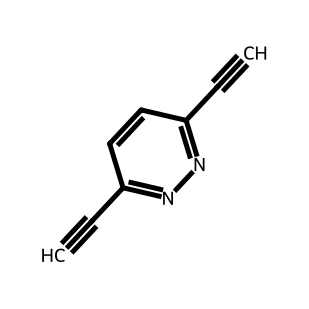 C#Cc1ccc(C#C)nn1